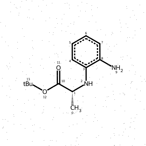 C[C@@H](Nc1ccccc1N)C(=O)OC(C)(C)C